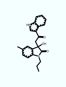 CCCN1C(=O)C(O)(CC(=O)c2c[nH]c3ccccc23)c2cc(C)ccc21